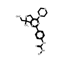 CCNC(=O)Nc1ccc(-c2nc(N3CCOCC3)c3c(n2)C(C)(CC=O)OC3)cc1